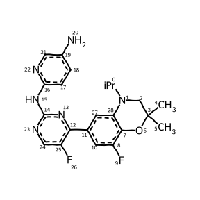 CC(C)N1CC(C)(C)Oc2c(F)cc(-c3nc(Nc4ccc(N)cn4)ncc3F)cc21